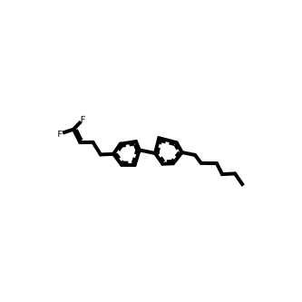 CCCCCCc1ccc(-c2ccc(CCC=C(F)F)cc2)cc1